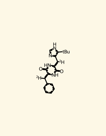 [2H]C(c1ccccc1)=c1[nH]c(=O)c(=C([2H])c2nc[nH]c2C(C)(C)C)[nH]c1=O